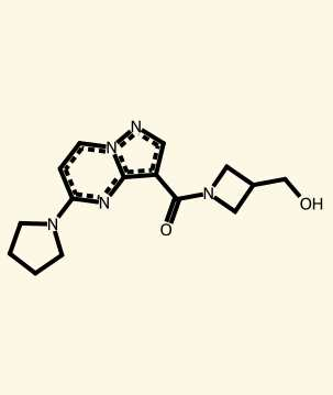 O=C(c1cnn2ccc(N3CCCC3)nc12)N1CC(CO)C1